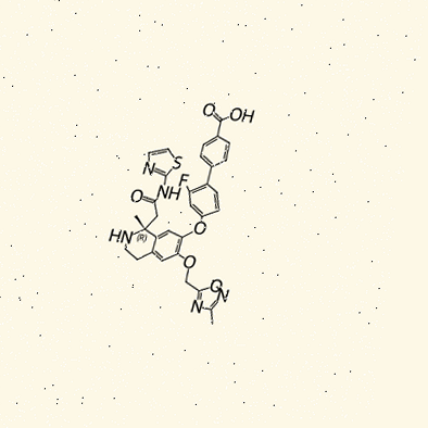 Cc1noc(COc2cc3c(cc2Oc2ccc(-c4ccc(C(=O)O)cc4)c(F)c2)[C@@](C)(CC(=O)Nc2nccs2)NCC3)n1